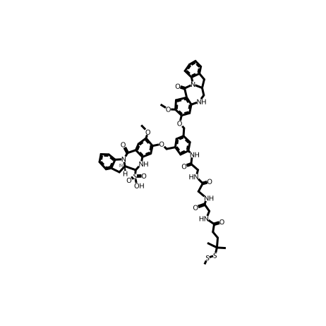 COc1cc2c(cc1OCc1cc(COc3cc4c(cc3OC)C(=O)N3c5ccccc5C[C@H]3C(S(=O)(=O)O)N4)cc(NC(=O)CNC(=O)CNC(=O)CNC(=O)CCC(C)(C)SSC)c1)NCC1Cc3ccccc3N1C2=O